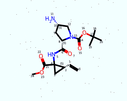 C=C[C@@H]1CC1(NC(=O)[C@@H]1C[C@H](N)CN1C(=O)OC(C)(C)C)C(=O)OC